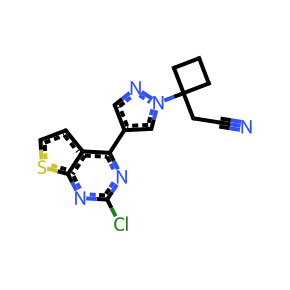 N#CCC1(n2cc(-c3nc(Cl)nc4sccc34)cn2)CCC1